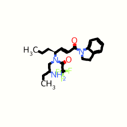 CCC[C@@H](/C=C/C(=O)N1CCc2ccccc21)N(C[C@@H](N)CC)C(=O)C(F)(F)F